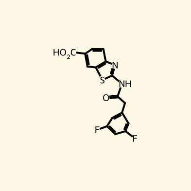 O=C(Cc1cc(F)cc(F)c1)Nc1nc2ccc(C(=O)O)cc2s1